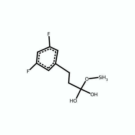 OC(O)(CCc1cc(F)cc(F)c1)O[SiH3]